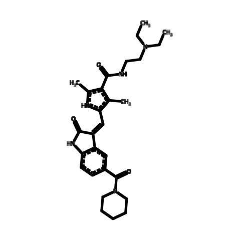 CCN(CC)CCNC(=O)c1c(C)[nH]c(/C=C2\C(=O)Nc3ccc(C(=O)N4CCCCC4)cc32)c1C